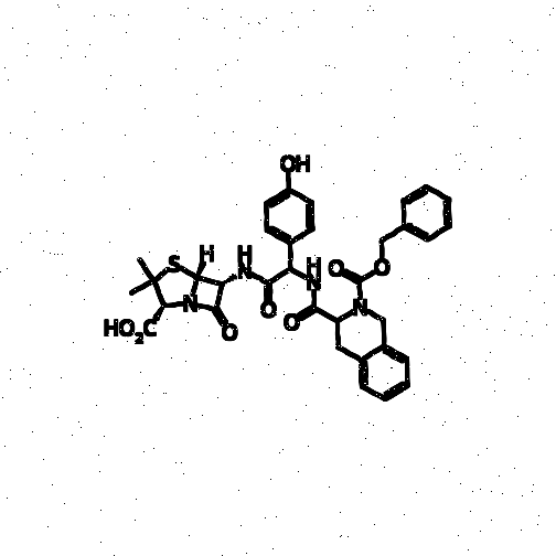 CC1(C)S[C@@H]2[C@H](NC(=O)C(NC(=O)C3Cc4ccccc4CN3C(=O)OCc3ccccc3)c3ccc(O)cc3)C(=O)N2[C@H]1C(=O)O